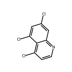 Clc1cc(Cl)c2c(Cl)ccnc2c1